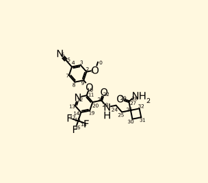 COc1cc(C#N)ccc1Oc1ncc(C(F)(F)F)cc1C(=O)NCCC1(C(N)=O)CCC1